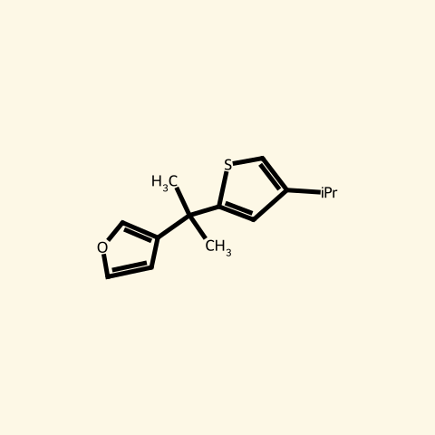 CC(C)c1csc(C(C)(C)c2ccoc2)c1